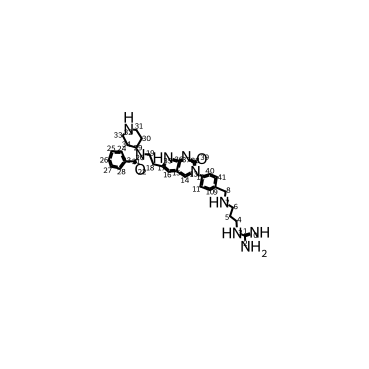 N=C(N)NCCCNCc1ccc(-n2cc3cc(CCN(C(=O)c4ccccc4)C4CCNCC4)[nH]c3nc2=O)cc1